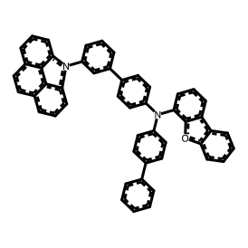 c1ccc(-c2ccc(N(c3ccc(-c4cccc(-n5c6cccc7ccc8cccc5c8c76)c4)cc3)c3cccc4c3oc3ccccc34)cc2)cc1